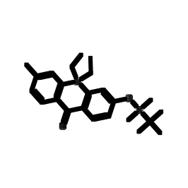 CC[Si]1(CC)c2cc(C)ccc2C(=O)c2ccc(O[Si](C)(C)C(C)(C)C)cc21